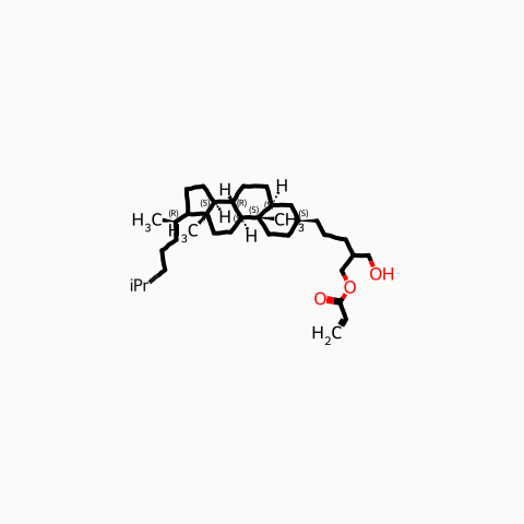 C=CC(=O)OCC(CO)CCC[C@H]1CC[C@@]2(C)[C@@H](CC[C@@H]3[C@@H]2CC[C@]2(C)C([C@H](C)CCCC(C)C)CC[C@@H]32)C1